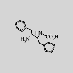 N[C@H](Cc1ccccc1)[C@H](Cc1ccccc1)NC(=O)O